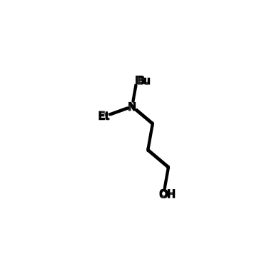 CCC(C)N(CC)CCCO